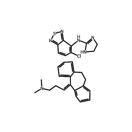 CN(C)CCC=C1c2ccccc2CCc2ccccc21.Clc1ccc2nsnc2c1NC1=NCCN1